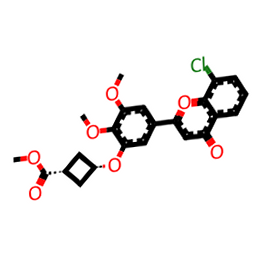 COc1cc(-c2cc(=O)c3cccc(Cl)c3o2)cc(O[C@H]2C[C@@H](C(=O)OC)C2)c1OC